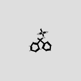 CC(OS(C)(=O)=O)(c1ccccc1)c1ccccc1